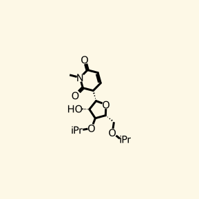 CC(C)OC[C@H]1O[C@@H](C2C=CC(=O)N(C)C2=O)[C@@H](O)C1OC(C)C